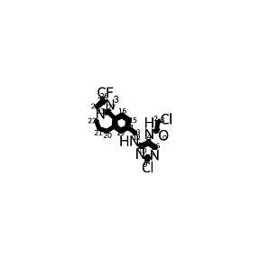 O=C(CCl)Nc1cnc(Cl)nc1NCc1ccc2c(c1)CCCn1cc(C(F)(F)F)nc1-2